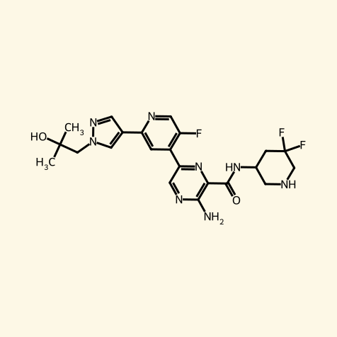 CC(C)(O)Cn1cc(-c2cc(-c3cnc(N)c(C(=O)NC4CNCC(F)(F)C4)n3)c(F)cn2)cn1